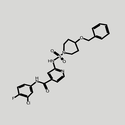 O=C(Nc1ccc(F)c(Cl)c1)c1ccnc(NS(=O)(=O)N2CCC(OCc3ccccc3)CC2)c1